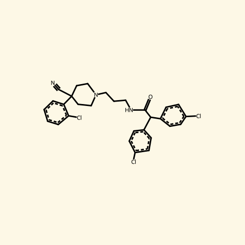 N#CC1(c2ccccc2Cl)CCN(CCCNC(=O)C(c2ccc(Cl)cc2)c2ccc(Cl)cc2)CC1